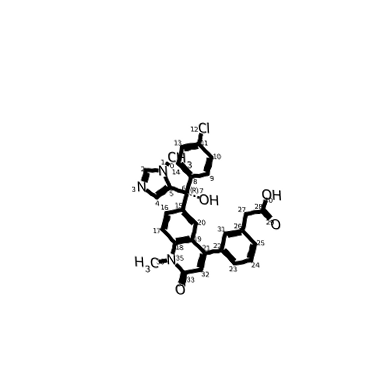 Cn1cncc1[C@@](O)(c1ccc(Cl)cc1)c1ccc2c(c1)c(-c1cccc(CC(=O)O)c1)cc(=O)n2C